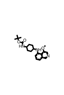 COc1cncc2cccc(NC3CCC(NC(=O)OC(C)(C)C)CC3)c12